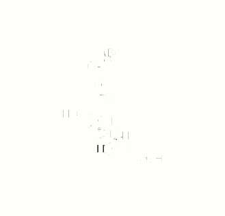 C[C@H](CCC(=O)OCC(=O)OC(C)(C)C)[C@H]1CC[C@H]2[C@@H]3CCC4C[C@H](O)CC[C@]4(C)[C@H]3CC[C@]12C